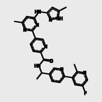 Cc1cc(Nc2cc(C)[nH]n2)nc(-c2ccc(C(=O)NC(C)c3ccc(-c4cc(F)cnc4C)nc3)nc2)n1